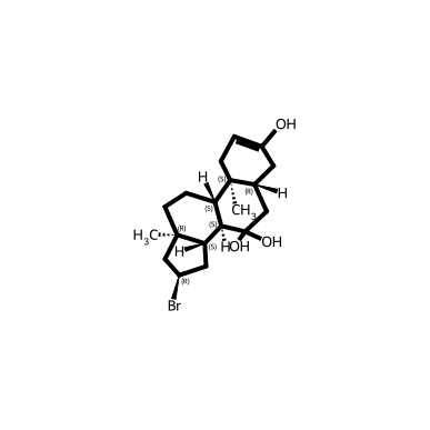 C[C@]12CC[C@H]3[C@H]([C@@H]1C[C@@H](Br)C2)C(O)(O)C[C@H]1CC(O)=CC[C@@]13C